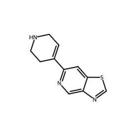 C1=C(c2cc3scnc3cn2)CCNC1